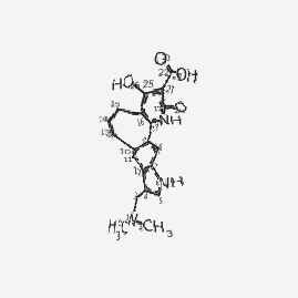 CN(C)Cc1c[nH]c2cc3c(cc12)CCCc1c-3[nH]c(=O)c(C(=O)O)c1O